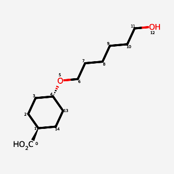 O=C(O)[C@H]1CC[C@H](OCCCCCCO)CC1